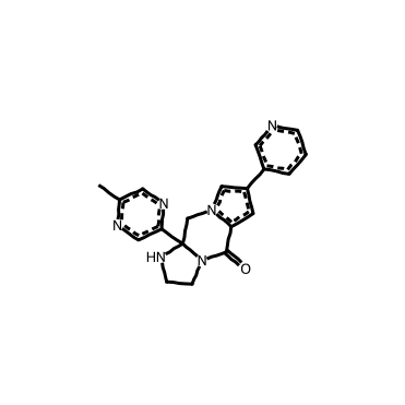 Cc1cnc(C23Cn4cc(-c5cccnc5)cc4C(=O)N2CCN3)cn1